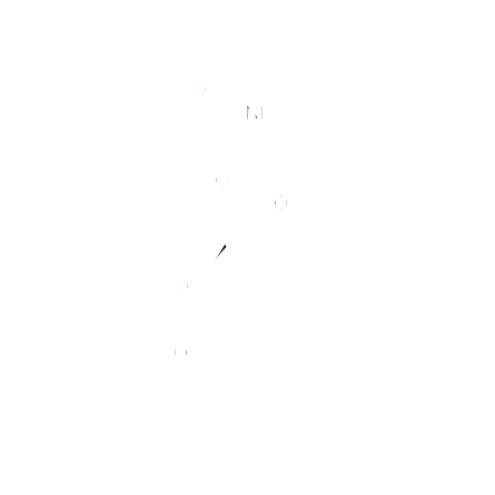 C=CCCC(C[C@@H]1OC(=O)[C@H]1CCCCCC)OC(=O)C(Cc1ccccc1)NC=O